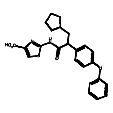 O=C(O)c1csc(NC(=O)C(CC2CCCC2)c2ccc(Oc3ccccc3)cc2)n1